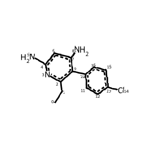 CCc1nc(N)cc(N)c1-c1ccc(Cl)cc1